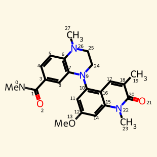 CNC(=O)c1ccc2c(c1)N(c1cc(OC)cc3c1cc(C)c(=O)n3C)CCN2C